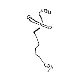 CC(C)(C)S(=O)(=O)CCCC(=O)O